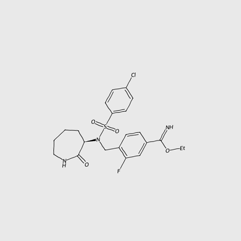 CCOC(=N)c1ccc(CN([C@@H]2CCCCNC2=O)S(=O)(=O)c2ccc(Cl)cc2)c(F)c1